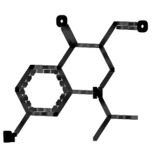 CC(C)N1CC(C=O)C(=O)c2ccc(Br)cc21